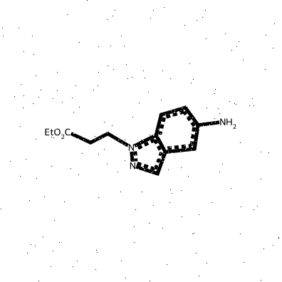 CCOC(=O)CCn1ncc2cc(N)ccc21